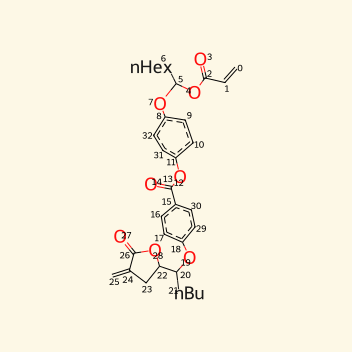 C=CC(=O)OC(CCCCCC)Oc1ccc(OC(=O)c2ccc(OC(CCCC)C3CC(=C)C(=O)O3)cc2)cc1